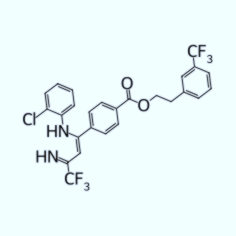 N=C(/C=C(\Nc1ccccc1Cl)c1ccc(C(=O)OCCc2cccc(C(F)(F)F)c2)cc1)C(F)(F)F